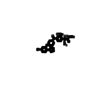 COC(=O)C(C)(C)c1ccc(C(=O)N2CCC3(CC2)Oc2cc(Cl)ccc2-n2cccc23)cc1OC